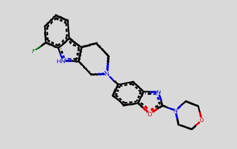 Fc1cccc2c3c([nH]c12)CN(c1ccc2oc(N4CCOCC4)nc2c1)CC3